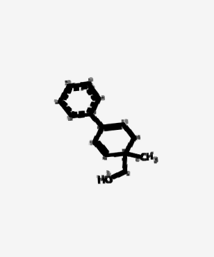 CC1(CO)C=CC(c2ccccc2)=CC1